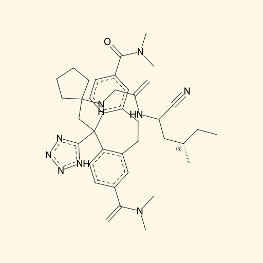 C=C(CNC1(CC2(c3nnn[nH]3)c3ccc(C(=C)N(C)C)cc3CCc3cc(C(=O)N(C)C)ccc32)CCCC1)NC(C#N)C[C@@H](C)CC